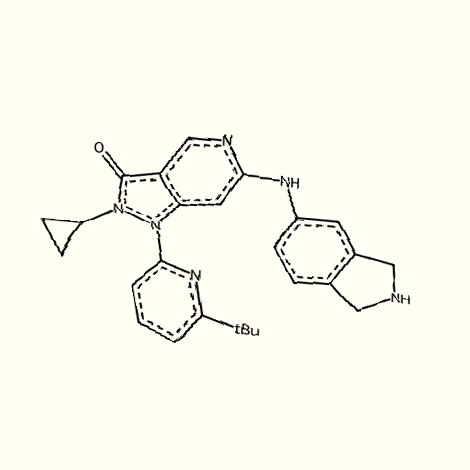 CC(C)(C)c1cccc(-n2c3cc(Nc4ccc5c(c4)CNC5)ncc3c(=O)n2C2CC2)n1